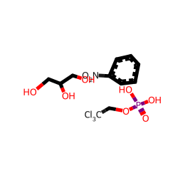 O=P(O)(O)OCC(Cl)(Cl)Cl.O=[N+]([O-])c1ccccc1.OCC(O)CO